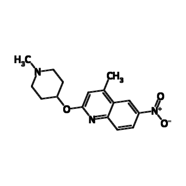 Cc1cc(OC2CCN(C)CC2)nc2ccc([N+](=O)[O-])cc12